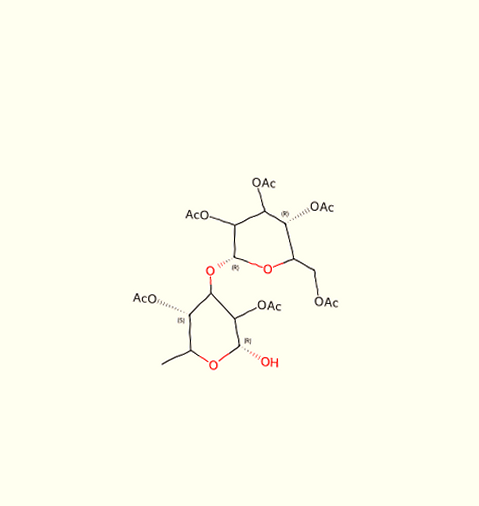 CC(=O)OCC1O[C@H](OC2C(OC(C)=O)[C@H](O)OC(C)[C@@H]2OC(C)=O)C(OC(C)=O)C(OC(C)=O)[C@@H]1OC(C)=O